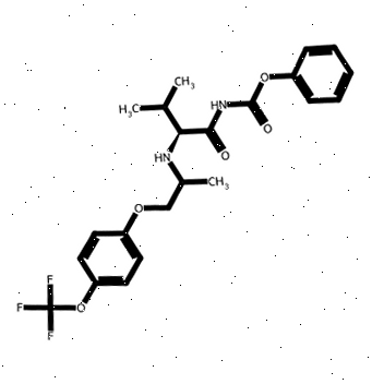 CC(COc1ccc(OC(F)(F)F)cc1)N[C@H](C(=O)NC(=O)Oc1ccccc1)C(C)C